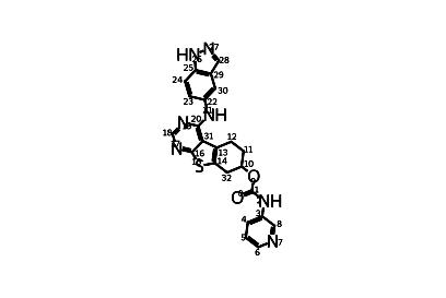 O=C(Nc1cccnc1)OC1CCc2c(sc3ncnc(Nc4ccc5[nH]ncc5c4)c23)C1